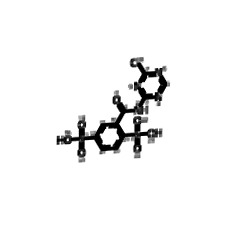 O=C(Nc1ncnc(Cl)n1)c1cc(S(=O)(=O)O)ccc1S(=O)(=O)O